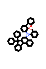 Cc1ccccc1N(c1cc2c(c3ccccc13)-c1ccccc1C2(c1ccccc1)c1ccccc1)c1cccc2c1oc1ccccc12